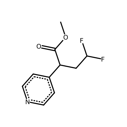 COC(=O)C(CC(F)F)c1ccncc1